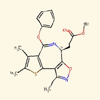 Cc1noc2c1-c1sc(C)c(C)c1C(Oc1ccccc1)=N[C@H]2CC(=O)OC(C)(C)C